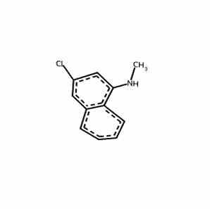 CNc1cc(Cl)cc2ccccc12